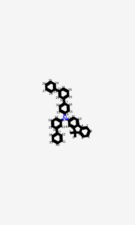 CC1(C)c2ccccc2-c2ccc(N(c3ccc(-c4cccc(-c5ccccc5)c4)cc3)c3cccc(-c4ccccc4)c3)cc21